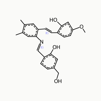 COc1ccc(/C=C/c2cc(C)c(C)cc2/N=C/c2ccc(CO)cc2O)c(O)c1